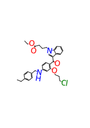 CCOC(=O)CCCn1cc(C(=O)c2ccc(NCc3ccc(CC)cc3)cc2OCCCCl)c2ccccc21